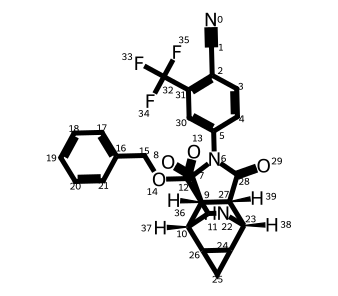 N#Cc1ccc(N2C(=O)[C@H]3[C@@H]4C(C(=O)OCc5ccccc5)N[C@@H](C5CC54)[C@H]3C2=O)cc1C(F)(F)F